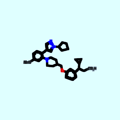 COc1ccc(-c2cnn(C3CCCC3)c2)c(N2CCC(COc3cccc(C(CC(=O)O)C4CC4)c3)CC2)c1